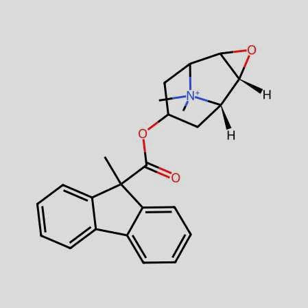 CC1(C(=O)OC2CC3C4O[C@@H]4[C@H](C2)[N+]3(C)C)c2ccccc2-c2ccccc21